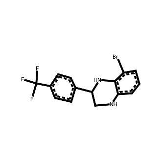 FC(F)(F)c1ccc(C2CNc3cccc(Br)c3N2)cc1